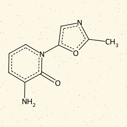 Cc1ncc(-n2cccc(N)c2=O)o1